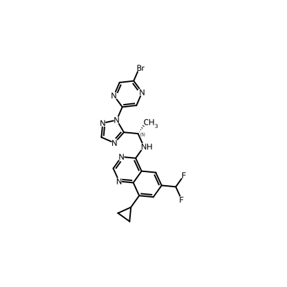 C[C@H](Nc1ncnc2c(C3CC3)cc(C(F)F)cc12)c1ncnn1-c1cnc(Br)cn1